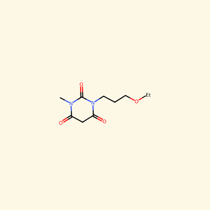 CCOCCCN1C(=O)CC(=O)N(C)C1=O